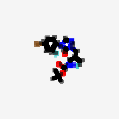 CC(C)(C)OC(=O)NC/C(=C\F)Cn1ncn(-c2ccc(Br)cc2F)c1=O